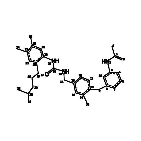 C=C(C)Nc1cccc(Cc2ccc(CNC(=O)Nc3cc(C)c(C)cc3CCCC(C)C)cc2C)c1